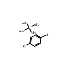 CCCC[N+](CCCC)(CCCC)CCCC.[Li][c]1ccc([O-])cc1